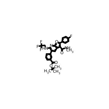 CNC(=O)c1c(-c2ccc(F)cc2)oc2nc(NCC(F)(F)F)c(-c3cccc(C(=O)OC(C)(C)C)c3)cc12